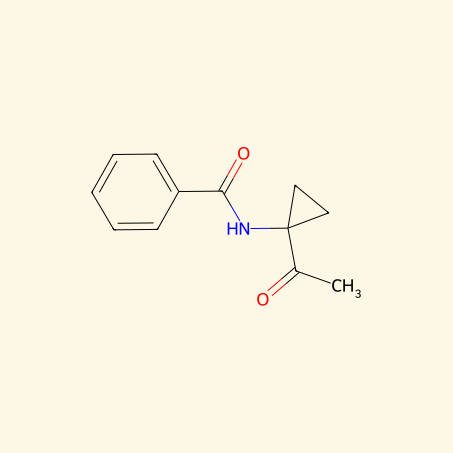 CC(=O)C1(NC(=O)c2ccccc2)CC1